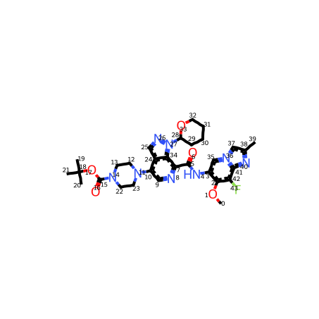 COc1c(NC(=O)c2ncc(N3CCN(C(=O)OC(C)(C)C)CC3)c3cnn(C4CCCCO4)c23)cn2cc(C)nc2c1F